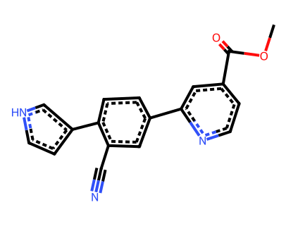 COC(=O)c1ccnc(-c2ccc(-c3cc[nH]c3)c(C#N)c2)c1